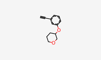 C#Cc1cccc(OC2CCCOC2)c1